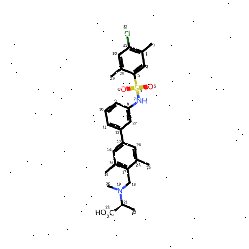 Cc1cc(S(=O)(=O)Nc2cccc(-c3cc(C)c(CN(C)[C@@H](C)C(=O)O)c(C)c3)c2)c(C)cc1Cl